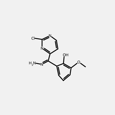 COc1cccc(C(=NN)c2ccnc(Cl)n2)c1O